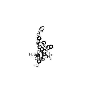 Cc1c(N(C(=O)c2cc(-c3cc4c(cc3C(=O)N3Cc5ccccc5C[C@H]3CN3CCCCC3)CN(C(=O)Cc3ccc(OCCN5CCOCC5)cc3F)CC4)n(C)c2C)c2ccc(O)cc2)cc(C#N)n1C